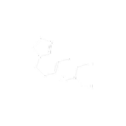 CC(Cc1cccn2ccnc12)N(C(=O)O)C(C)(C)C